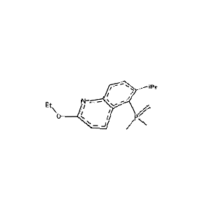 C=P(C)(C)c1c(C(C)C)ccc2nc(OCC)ccc12